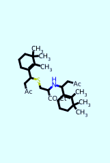 CCOC(=O)C(CSC(CC(C)=O)C1=C(C)C(C)(C)CCC1)NC(CC(C)=O)C1=C(C)C(C)(C)CCC1